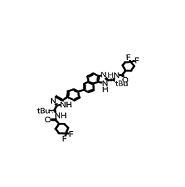 CC(C)(C)[C@H](NC(=O)C1CCC(F)(F)CC1)c1ncc(-c2ccc(-c3ccc4c(ccc5nc([C@@H](NC(=O)C6CCC(F)(F)CC6)C(C)(C)C)[nH]c54)c3)cc2)[nH]1